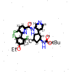 CCOc1cc(F)c(-c2nc(C(=O)Nc3cnccc3C3CC(NC(=O)OC(C)(C)C)C[C@@H](C)C3)ccc2F)c(F)c1